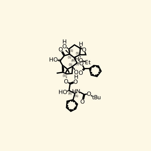 CCO[C@@]12CO[C@@H]1C[C@H](O)[C@@]1(C)C(=O)[C@H](O)C3=C(C)[C@@H](OC(=O)[C@H](O)[C@@H](NC(=O)OC(C)(C)C)c4ccccc4)C[C@@](O)([C@@H](OC(=O)c4ccccc4)[C@H]21)C3(C)C